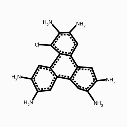 Nc1cc2c3cc(N)c(N)cc3c3c(Cl)c(N)c(N)cc3c2cc1N